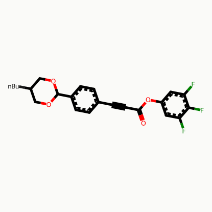 CCCCC1COC(c2ccc(C#CC(=O)Oc3cc(F)c(F)c(F)c3)cc2)OC1